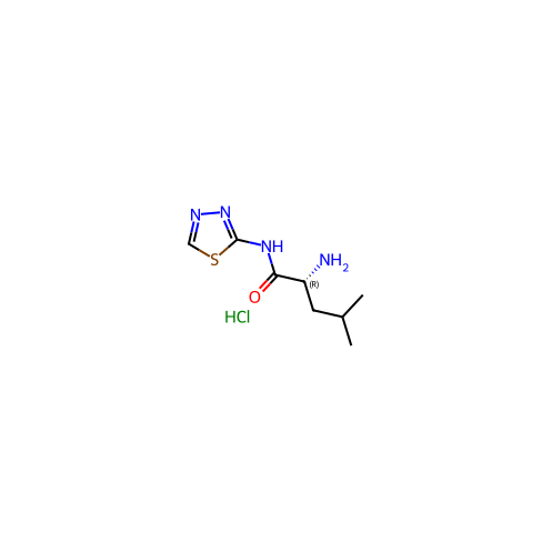 CC(C)C[C@@H](N)C(=O)Nc1nncs1.Cl